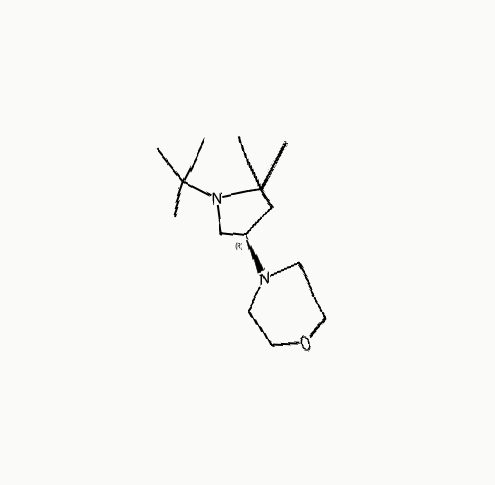 CC(C)(C)N1C[C@H](N2CCOCC2)CC1(C)C